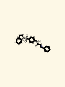 O=C(/C=C/c1ccccc1)Nc1ccc(S(=O)(=O)N2CCc3ccccc32)cc1